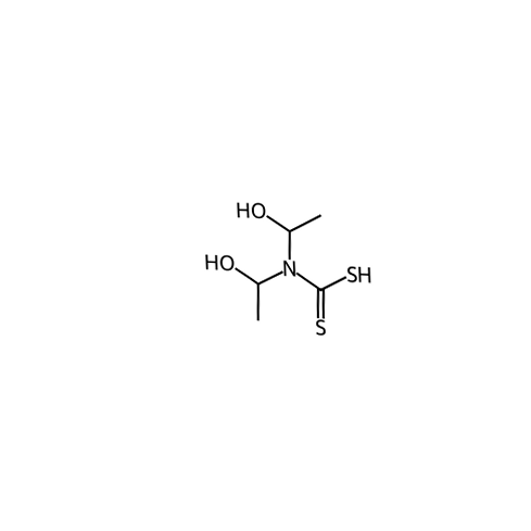 CC(O)N(C(=S)S)C(C)O